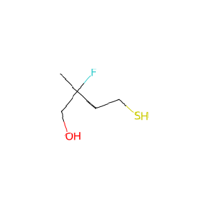 CC(F)(CO)CCS